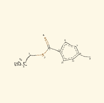 CCOC(=O)CSC(=S)c1ccc(C)cc1